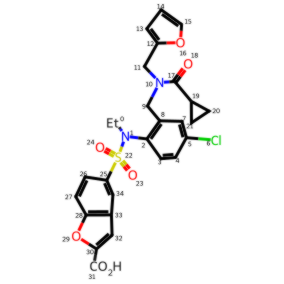 CCN(c1ccc(Cl)cc1CN(Cc1ccco1)C(=O)C1CC1)S(=O)(=O)c1ccc2oc(C(=O)O)cc2c1